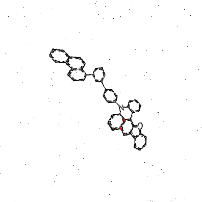 c1ccc(N(c2ccc(-c3cccc(-c4cccc5c4ccc4ccccc45)c3)cc2)c2ccccc2-c2cccc3c2oc2ccccc23)cc1